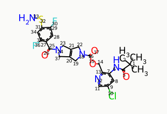 CC(C)(C)C(=O)Nc1cc(Cl)cnc1COC(=O)N1CC2=C(C1)CN(C(=O)c1cc(F)c(SN)cc1F)C2